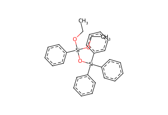 CCO[Si](OCC)(O[Si](c1ccccc1)(c1ccccc1)c1ccccc1)c1ccccc1